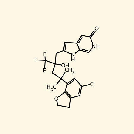 CC(C)(CC(O)(Cc1cc2cc(=O)[nH]cc2[nH]1)C(F)(F)F)c1cc(Cl)cc2c1OCC2